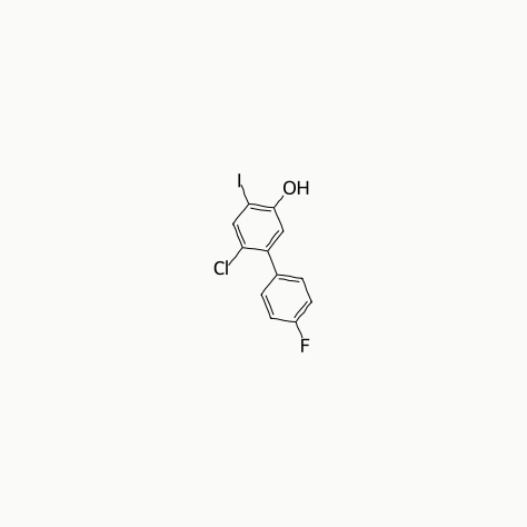 Oc1cc(-c2ccc(F)cc2)c(Cl)cc1I